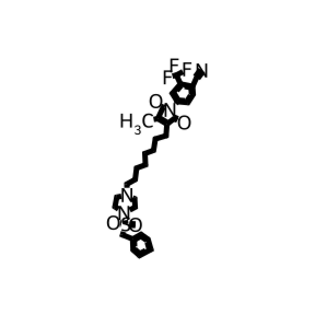 CC1=C(CCCCCCCCN2CCN(S(=O)(=O)Cc3ccccc3)CC2)C(=O)N(c2ccc(C#N)c(C(F)(F)F)c2)C1=O